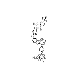 Cc1cc(C(F)(F)F)ccc1C(=O)Nc1cnc(Oc2ccc3cc(C(=O)N4CCN(C(=O)OC(C)(C)C)CC4)n(C)c3c2)nc1